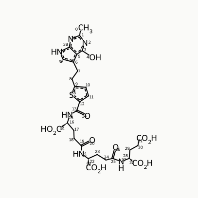 Cc1nc(O)c2c(CCc3ccc(C(=O)N[C@@H](CCC(=O)N[C@@H](CCC(=O)N[C@@H](CCC(=O)O)C(=O)O)C(=O)O)C(=O)O)s3)c[nH]c2n1